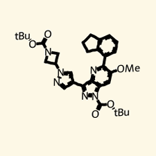 COc1cc2c(nc1-c1cccc3c1CCC3)c(-c1cnn(C3CN(C(=O)OC(C)(C)C)C3)c1)nn2C(=O)OC(C)(C)C